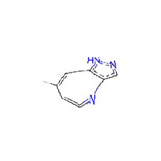 CC1=Cc2[nH]ncc2N=C=C1